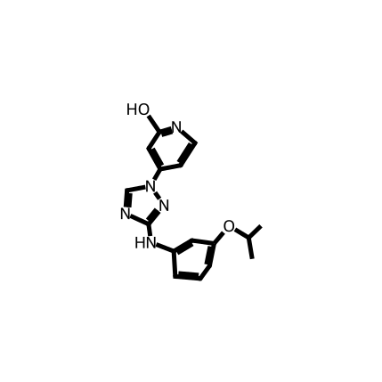 CC(C)Oc1cccc(Nc2ncn(-c3ccnc(O)c3)n2)c1